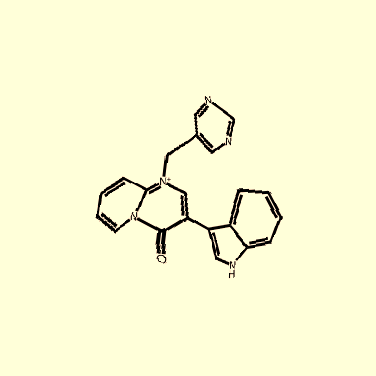 O=c1c(-c2c[nH]c3ccccc23)c[n+](Cc2cncnc2)c2ccccn12